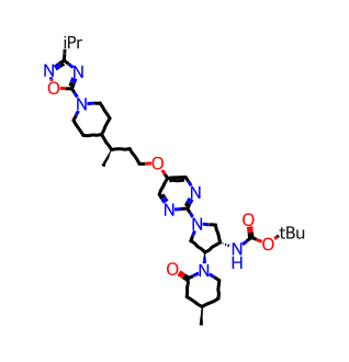 CC(C)c1noc(N2CCC([C@H](C)CCOc3cnc(N4C[C@H](NC(=O)OC(C)(C)C)[C@@H](N5CC[C@@H](C)CC5=O)C4)nc3)CC2)n1